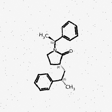 C[C@@H](C[C@@H]1CCN([C@@H](C)c2ccccc2)C1=O)c1ccccc1